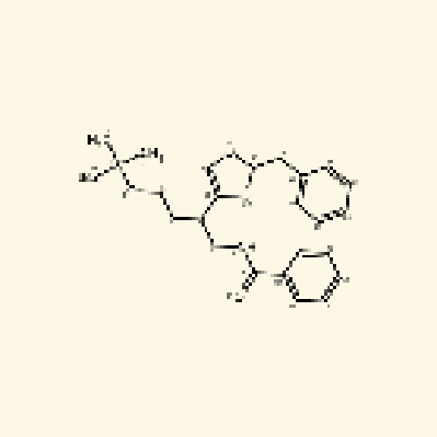 CC(C)(C)[Si](C)(C)OCCC(CNC(=O)c1ccccc1)C1=COC(Cc2ccccc2)O1